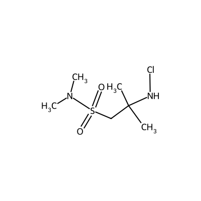 CN(C)S(=O)(=O)CC(C)(C)NCl